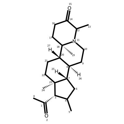 CC(=O)[C@H]1C(C)C[C@H]2[C@@H]3CCN4C(C)C(=O)CC[C@]4(C)[C@H]3CC[C@]12C